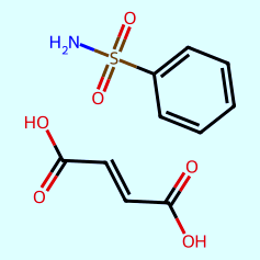 NS(=O)(=O)c1ccccc1.O=C(O)/C=C/C(=O)O